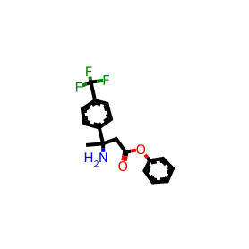 CC(N)(CC(=O)Oc1ccccc1)c1ccc(C(F)(F)F)cc1